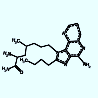 CCCCc1nc2c(N)nc3cccnc3c2n1CCCC(C)CC(N)C(N)=O